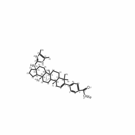 COC(=O)c1ccc(C2=CC[C@@]3(C)C(CC[C@]4(C)C3CC[C@@H]3C5CCC[C@]5(Nc5nc(C)c(C)s5)CC[C@]34C)C2(C)C)cc1